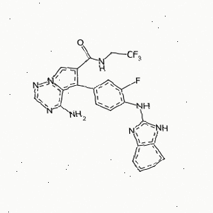 Nc1ncnn2cc(C(=O)NCC(F)(F)F)c(-c3ccc(Nc4nc5ccccc5[nH]4)c(F)c3)c12